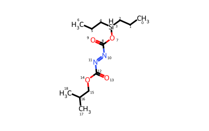 CCC[SiH](CCC)OC(=O)N=NC(=O)OCC(C)C